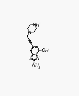 Nc1nc2c(O)cc(C#CCN3CCNCC3)cc2s1